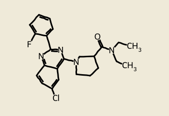 CCN(CC)C(=O)C1CCCN(c2nc(-c3ccccc3F)nc3ccc(Cl)cc23)C1